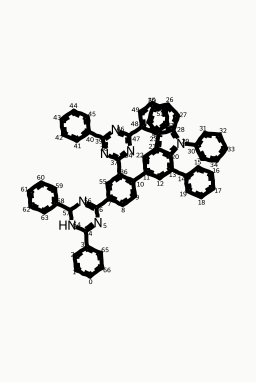 c1ccc(C2=NC(c3ccc(-c4cc(-c5ccccc5)c5c(c4)c4ccccc4n5-c4ccccc4)c(-c4nc(-c5ccccc5)nc(-c5ccccc5)n4)c3)=NC(c3ccccc3)N2)cc1